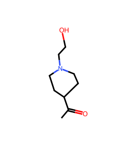 CC(=O)C1CCN(CCO)CC1